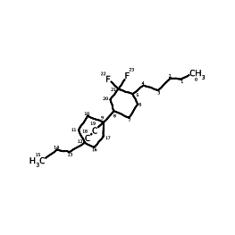 CCCCCC1CCC(C23CCC(CCC)(CC2)CC3)CC1(F)F